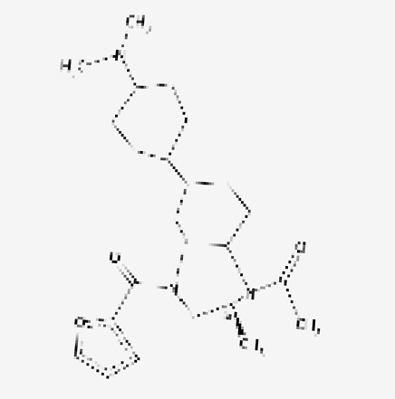 CC(=O)N1C2CCC(C3CCC(N(C)C)CC3)CC2N(C(=O)c2ccco2)C[C@@H]1C